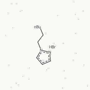 Br.CCCCCCn1cccn1